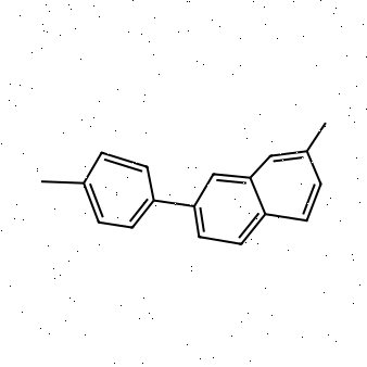 Cc1ccc(-c2ccc3ccc(C)cc3c2)cc1